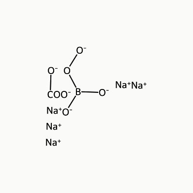 O=C([O-])[O-].[Na+].[Na+].[Na+].[Na+].[Na+].[O-]OB([O-])[O-]